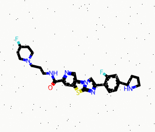 O=C(NCCCN1CCC(F)CC1)c1cc2sc3nc(-c4ccc(C5CCCN5)cc4F)cn3c2cn1